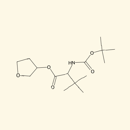 CC(C)(C)OC(=O)NC(C(=O)OC1CCOC1)C(C)(C)C